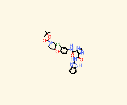 CC(C)(C)OC(=O)N1CCC(Oc2ccc(NC(=O)c3[nH]cnc3C(=O)Nc3nc4ccccc4[nH]3)cc2Cl)CC1